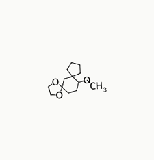 COC1CCC2(CC13CCCC3)OCCO2